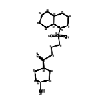 O=C(CCCS(=O)(=O)N1CCCC2CCCCC21)N1CCC(O)CC1